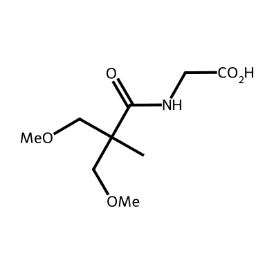 COCC(C)(COC)C(=O)NCC(=O)O